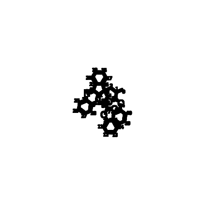 CC(CC1(CC(C)C(=O)Oc2ccccc2)c2ccccc2-c2nc3ccccc3nc21)C(=O)Oc1ccccc1